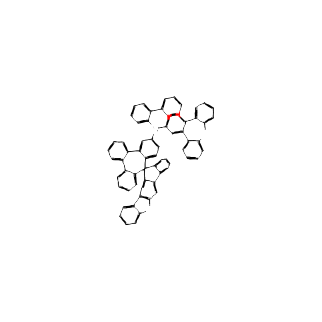 c1ccc(-c2ccccc2N(c2ccc3c(c2)-c2ccccc2Oc2ccccc2-3)c2ccc3c(c2)-c2ccccc2-c2ccccc2C32c3ccccc3-c3cc4sc5ccccc5c4cc32)cc1